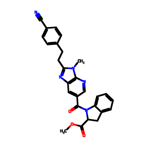 COC(=O)C1Cc2ccccc2N1C(=O)c1cnc2c(c1)nc(CCc1ccc(C#N)cc1)n2C